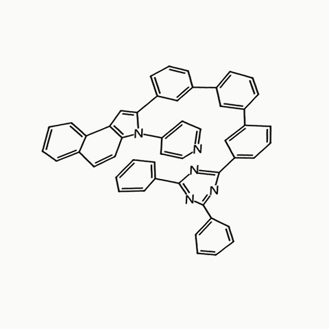 c1ccc(-c2nc(-c3ccccc3)nc(-c3cccc(-c4cccc(-c5cccc(-c6cc7c8ccccc8ccc7n6-c6ccncc6)c5)c4)c3)n2)cc1